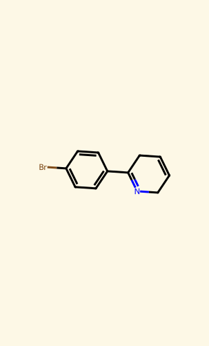 Brc1ccc(C2=NCC=CC2)cc1